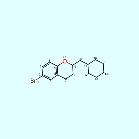 Brc1ccc2c(c1)CCC(CC1CCCCC1)O2